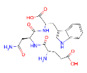 NC(=O)C[C@H](NC(=O)[C@@H](N)CCC(=O)O)C(=O)N[C@@H](Cc1c[nH]c2ccccc12)C(=O)O